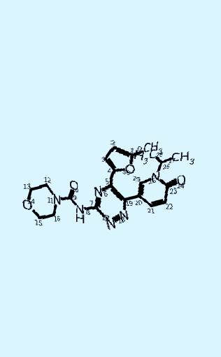 Cc1ccc(-c2nc(NC(=O)N3CCOCC3)nnc2-c2ccc(=O)n(C(C)C)c2)o1